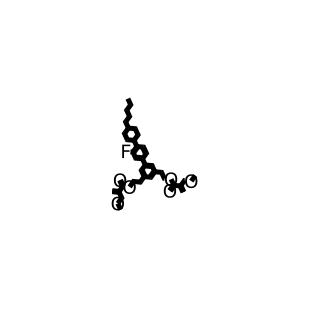 C=C(COC)C(=O)OCCc1cc(CCOC(=O)C(=C)COC)cc(-c2ccc(C3CCC(CCCCC)CC3)c(F)c2)c1